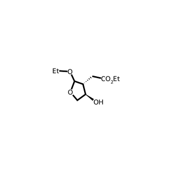 CCOC(=O)C[C@H]1C(OCC)OC[C@@H]1O